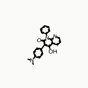 CN(C)c1ccc(-c2c(O)c3cccnc3n(-c3ccccc3)c2=O)cc1